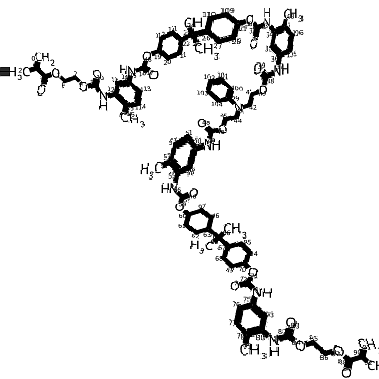 C=C(C)C(=O)OCCOC(=O)Nc1cc(NC(=O)OC2CCC(C(C)(C)C3CCC(OC(=O)Nc4cc(NC(=O)OCCN(CCOC(=O)Nc5ccc(C)c(NC(=O)OC6CCC(C(C)(C)C7CCC(OC(=O)Nc8ccc(C)c(NC(=O)OCCOC(=O)C(=C)C)c8)CC7)CC6)c5)c5ccccc5)ccc4C)CC3)CC2)ccc1C